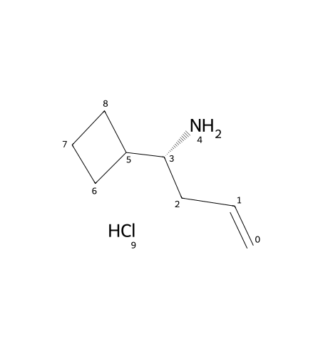 C=CC[C@@H](N)C1CCC1.Cl